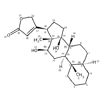 C[C@]12CC[CH]C[C@@H]1CC[C@@H]1[C@@H]2C[C@@H](O)[C@]2(C)[C@@H](C3=CC(=O)OC3)CC[C@]12O